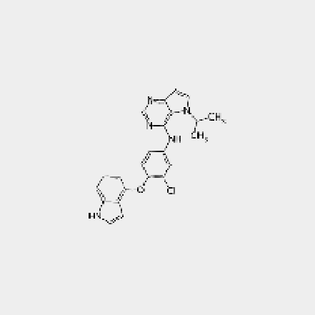 CC(C)n1ccc2ncnc(Nc3ccc(Oc4cccc5[nH]ccc45)c(Cl)c3)c21